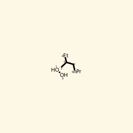 OO.[CH2]C(CC)CCCC